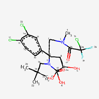 CN(CC(CC(O)CO)(c1ccc(Cl)c(Cl)c1)N(CC(C)(C)C)C(=O)O)C(=O)C(F)(F)Cl